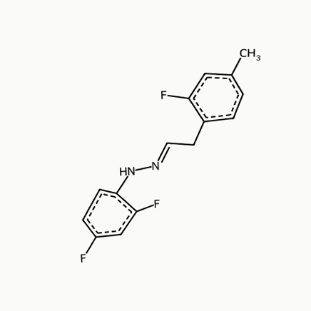 Cc1ccc(CC=NNc2ccc(F)cc2F)c(F)c1